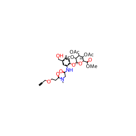 C#CCOCCC(=O)N(C)CC(=O)Nc1cc(CO)ccc1O[C@@H]1OC(C(=O)OC)[C@H](OC(C)=O)C(OC(C)=O)C1OC(C)=O